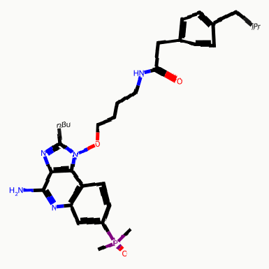 CCCCc1nc2c(N)nc3cc(P(C)(C)=O)ccc3c2n1OCCCCNC(=O)Cc1ccc(CC(C)C)cc1